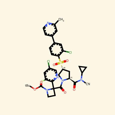 Cc1cc(-c2ccc(S(=O)(=O)[C@@H]3C[C@@H](C(=O)N(C#N)C4CC4)N(C(=O)C4(c5ncc(Cl)cc5F)CCN4C(=O)OC(C)(C)C)C3)c(Cl)c2)ccn1